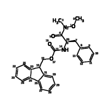 CON(C)C(=O)[C@@H](Cc1ccccc1)NC(=O)OCC1c2ccccc2-c2ccccc21